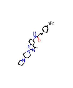 CCCc1ccc(C=CC(=O)Nc2ccc3nc(N4CCC(N5CCCC5)CC4)nc(C)c3c2)cc1